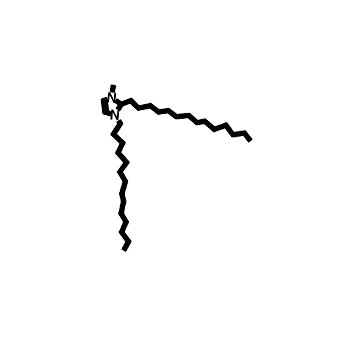 CCCCCCCCCCCCCCC1N(C)C=CN1CCCCCCCCCCCCCC